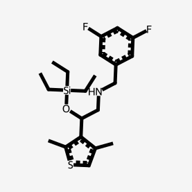 CC[Si](CC)(CC)OC(CNCc1cc(F)cc(F)c1)c1c(C)csc1C